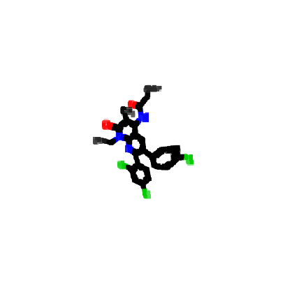 CC(=O)OCC(=O)Nc1c(C)c(=O)n(CC(C)C)c2nc(-c3ccc(Cl)cc3Cl)c(-c3ccc(Cl)cc3)cc12